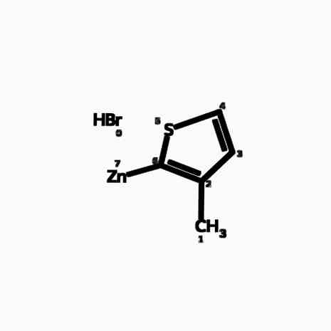 Br.Cc1ccs[c]1[Zn]